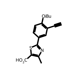 C#Cc1cc(-c2nc(C)c(C(=O)O)s2)ccc1OCC(C)C